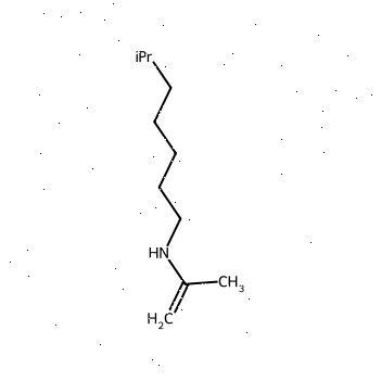 C=C(C)NCCCCCC(C)C